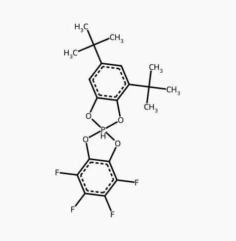 CC(C)(C)c1cc2c(c(C(C)(C)C)c1)O[PH]1(O2)Oc2c(F)c(F)c(F)c(F)c2O1